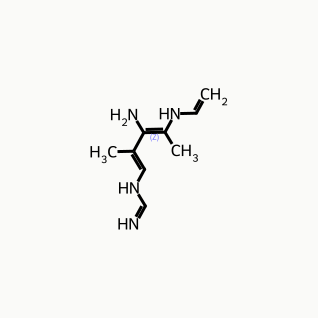 C=CN/C(C)=C(\N)C(C)=CNC=N